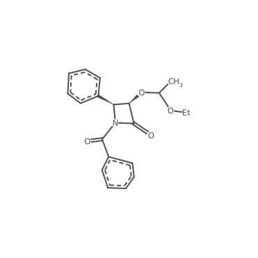 CCOC(C)O[C@H]1C(=O)N(C(=O)c2ccccc2)[C@H]1c1ccccc1